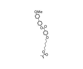 C=C(C)C(=O)OCCCCCCOc1ccc(C(=O)Oc2ccc(-c3ccc(OC)cc3)cc2)cc1